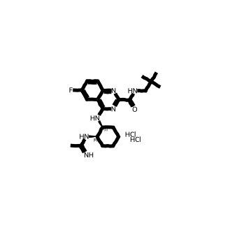 CC(=N)N[C@@H]1CCCC[C@@H]1Nc1nc(C(=O)NCC(C)(C)C)nc2ccc(F)cc12.Cl.Cl